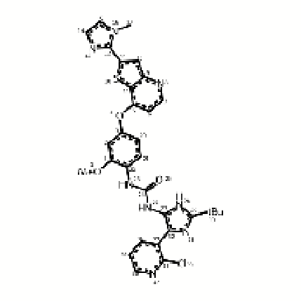 COc1cc(Oc2ccnc3cc(-c4nccn4C)sc23)ccc1NC(=O)Nc1[nH]c(C(C)(C)C)nc1-c1cccnc1Cl